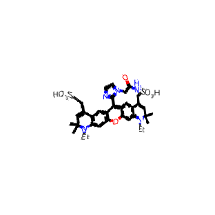 CCN1c2cc3c(cc2C(CS(=O)(=O)O)=CC1(C)C)C(c1nccn1CC(N)=O)=c1cc2c(cc1O3)=[N+](CC)C(C)(C)C=C2CS(=O)(=O)O